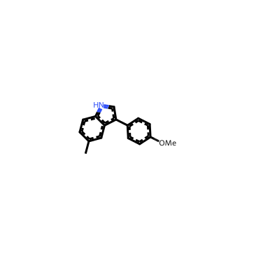 COc1ccc(-c2c[nH]c3ccc(C)cc23)cc1